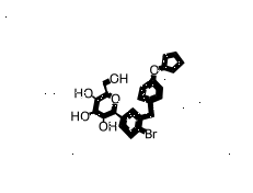 OC[C@H]1O[C@@H](c2ccc(Br)c(Cc3ccc(OC4CCCC4)cc3)c2)[C@H](O)[C@@H](O)[C@@H]1O